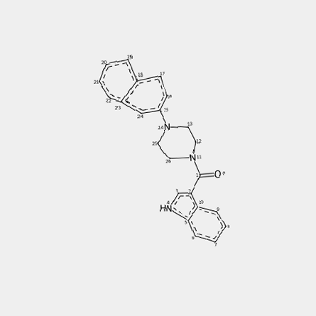 O=C(c1c[nH]c2ccccc12)N1CCN(c2ccc3ccccc3c2)CC1